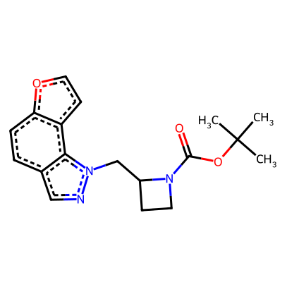 CC(C)(C)OC(=O)N1CCC1Cn1ncc2ccc3occc3c21